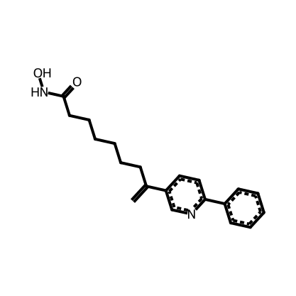 C=C(CCCCCCC(=O)NO)c1ccc(-c2ccccc2)nc1